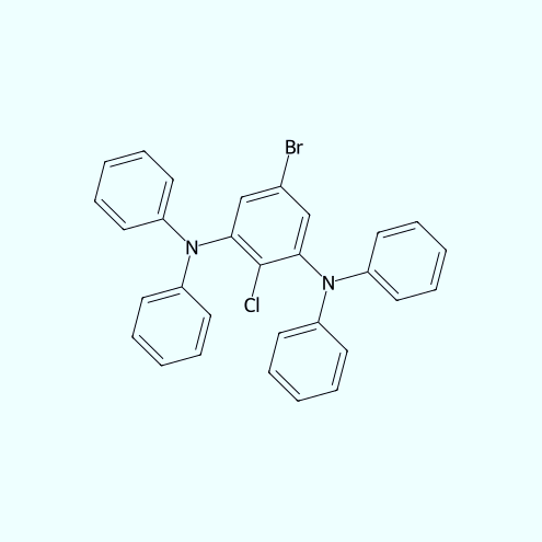 Clc1c(N(c2ccccc2)c2ccccc2)cc(Br)cc1N(c1ccccc1)c1ccccc1